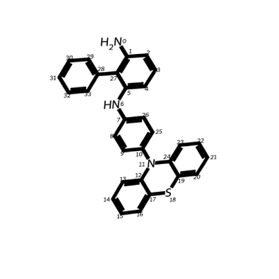 Nc1cccc(Nc2ccc(N3c4ccccc4Sc4ccccc43)cc2)c1-c1ccccc1